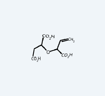 C=CC(OC(CC(=O)O)C(=O)O)C(=O)O